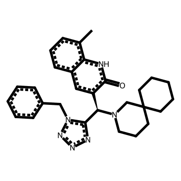 Cc1cccc2cc([C@H](c3nnnn3Cc3ccccc3)N3CCCC4(CCCCC4)C3)c(=O)[nH]c12